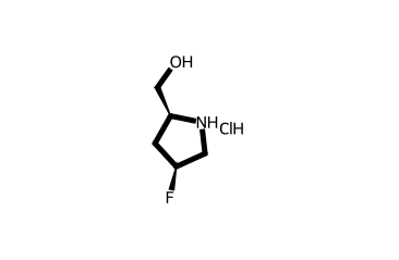 Cl.OC[C@@H]1C[C@H](F)CN1